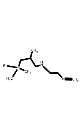 C=NCCNCC(C)C[Si](C)(C)CC